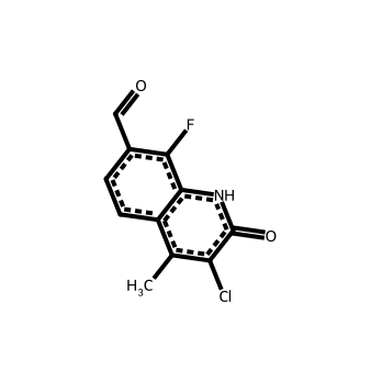 Cc1c(Cl)c(=O)[nH]c2c(F)c(C=O)ccc12